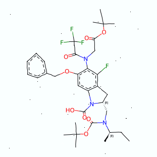 CC[C@@H](C)N(C[C@H]1Cc2c(cc(OCc3ccccc3)c(N(CC(=O)OC(C)(C)C)C(=O)C(F)(F)F)c2F)N1C(=O)O)C(=O)OC(C)(C)C